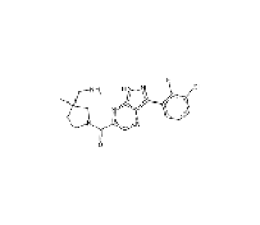 CC1(CN)CCN(C(=O)c2cnc3c(-c4cccc(Cl)c4F)n[nH]c3n2)C1